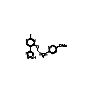 COc1ccc([C@H]2C[C@@H]2COc2nc(C)ncc2-c2c[nH]nn2)nc1